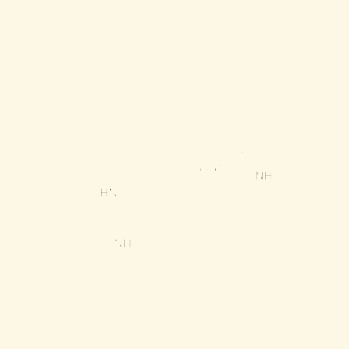 CC(=N)NCCC/C(C)=C(/C)C(C)(N)C(=O)O